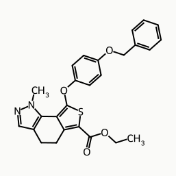 CCOC(=O)c1sc(Oc2ccc(OCc3ccccc3)cc2)c2c1CCc1cnn(C)c1-2